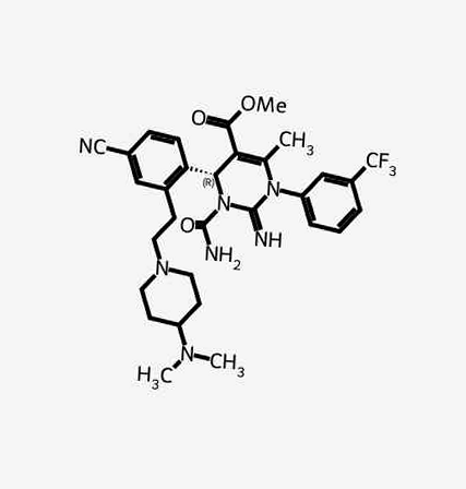 COC(=O)C1=C(C)N(c2cccc(C(F)(F)F)c2)C(=N)N(C(N)=O)[C@@H]1c1ccc(C#N)cc1CCN1CCC(N(C)C)CC1